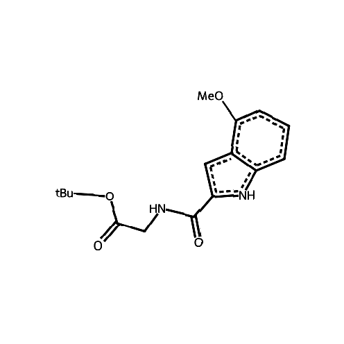 COc1cccc2[nH]c(C(=O)NCC(=O)OC(C)(C)C)cc12